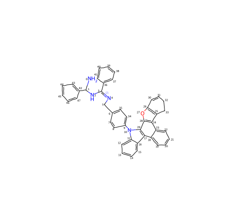 NC(N/C(=N\Cc1ccc(-n2c3ccccc3c3c4ccccc4c4c5c(oc4c32)C=CCC5)cc1)c1ccccc1)c1ccccc1